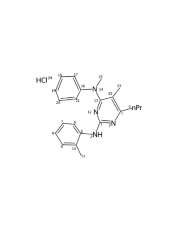 CCCc1nc(Nc2ccccc2C)nc(N(C)c2ccccc2)c1C.Cl